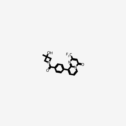 CC1(O)CN(C(=O)c2ccc(-c3cccn4c(=O)cc(C(F)(F)F)nc34)cc2)C1